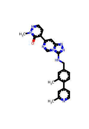 Cc1cc(-c2ccc(CNc3nnc4cc(-c5ccnn(C)c5=O)ncn34)cc2C)ccn1